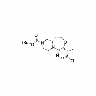 Cc1c(Cl)cnc2c1OCCC1CN(C(=O)OC(C)(C)C)CCN21